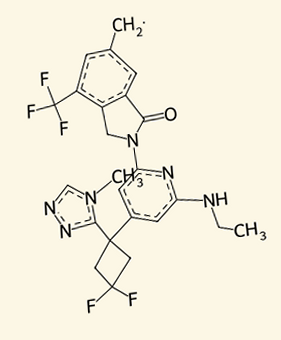 [CH2]c1cc2c(c(C(F)(F)F)c1)CN(c1cc(C3(c4nncn4C)CC(F)(F)C3)cc(NCC)n1)C2=O